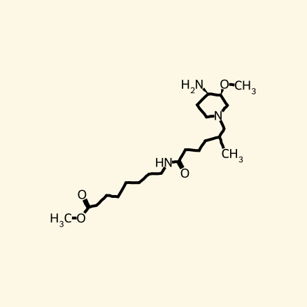 COC(=O)CCCCCCCNC(=O)CCCC(C)CN1CC[C@@H](N)[C@@H](OC)C1